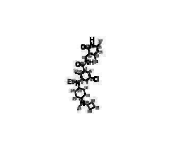 CCN(c1cc(Cl)cc(C(=O)NCc2c(C)cc(C)[nH]c2=O)c1C)C1CCC(N(C)C2CCC2)CC1